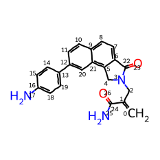 C=C(CN1Cc2c(ccc3ccc(-c4ccc(N)cc4)cc23)C1=O)C(N)=O